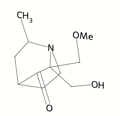 COCC1(CO)C(=O)C2CCN1C(C)C2